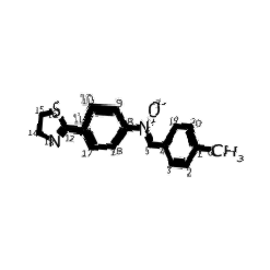 Cc1ccc(C=[N+]([O-])c2ccc(C3=NCCS3)cc2)cc1